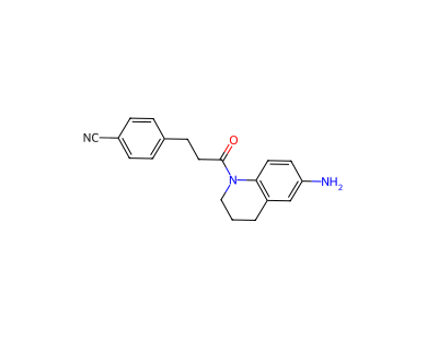 N#Cc1ccc(CCC(=O)N2CCCc3cc(N)ccc32)cc1